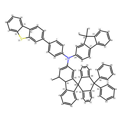 CC1C=C(N(c2ccc(-c3ccc4c(c3)sc3ccccc34)cc2)c2ccc3c(c2)C(C)(C)c2ccccc2-3)C=C2C1c1ccccc1C21c2ccccc2C(c2ccccc2)(c2ccccc2)c2ccccc21